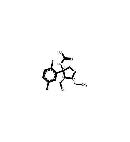 CC[C@H]1OC[C@@](NC(C)=O)(c2cc(Br)ccc2F)[C@@H]1CO